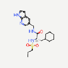 CCCS(=O)(=O)N[C@@H](CC1CCCCC1)C(=O)NCc1cnc2[nH]ccc2c1